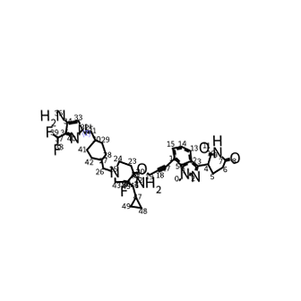 Cn1nc(C2CCC(=O)NC2=O)c2cccc(C#CCO[C@]3(N)CCN(CC4CCC(/C=[N+]5/C=C(N)C(C(F)F)=N5)CC4)C[C@]3(F)CC3CC3)c21